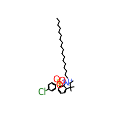 CCCCCCCCCCCCCCCCCC[N+]1(OS(=O)(=O)c2ccc(Cl)cc2)c2ccccc2C(C)(C)C1C